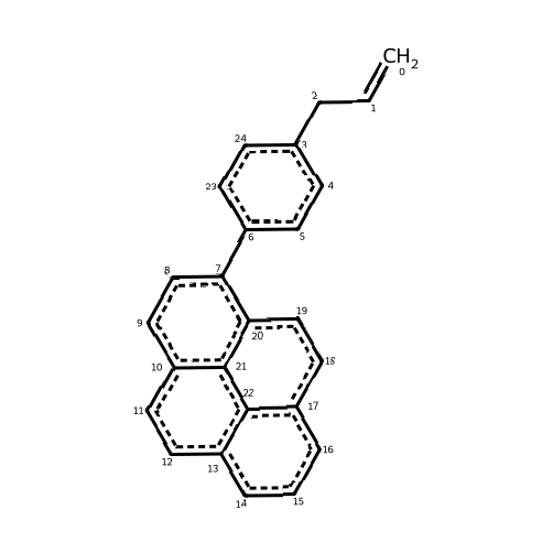 C=CCc1ccc(-c2ccc3ccc4cccc5ccc2c3c45)cc1